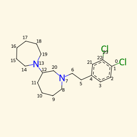 Clc1ccc(CCN2CCCCC(N3CCCCCC3)C2)cc1Cl